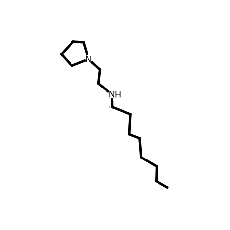 CCCCCCC[CH]NCCN1CCCC1